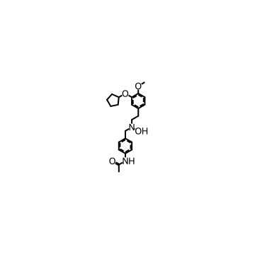 COc1ccc(CCN(O)Cc2ccc(NC(C)=O)cc2)cc1OC1CCCC1